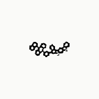 c1cc(-c2c3ccccc3c(-c3cccc4ccccc34)c3ccccc23)cc(-c2cc3sc4cc5sc6ccccc6c5cc4c3c3ccccc23)c1